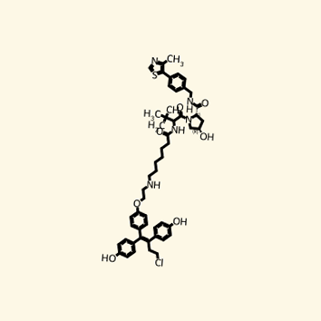 Cc1ncsc1-c1ccc(CNC(=O)[C@@H]2C[C@@H](O)CN2C(=O)C(NC(=O)CCCCCCNCCOc2ccc(C(=C(CCCl)c3ccc(O)cc3)c3ccc(O)cc3)cc2)C(C)(C)C)cc1